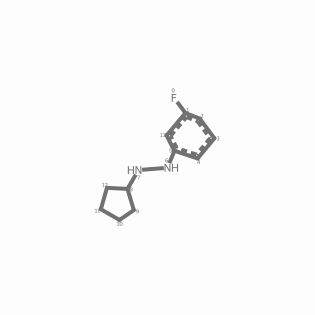 Fc1cccc(NNC2CCCC2)c1